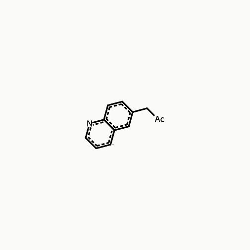 CC(=O)Cc1ccc2ncc[c]c2c1